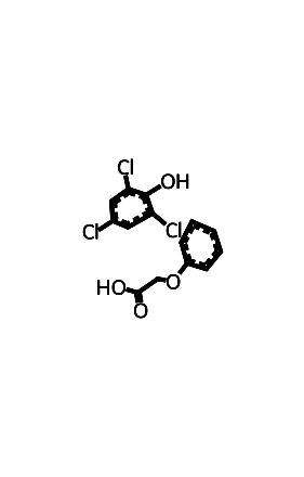 O=C(O)COc1ccccc1.Oc1c(Cl)cc(Cl)cc1Cl